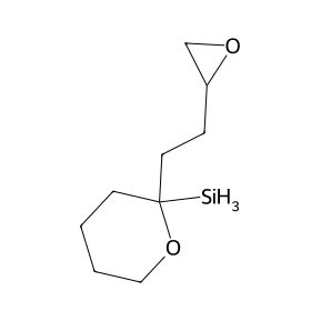 [SiH3]C1(CCC2CO2)CCCCO1